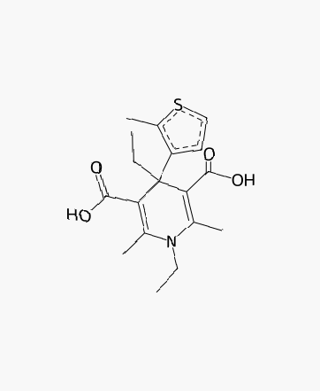 CCN1C(C)=C(C(=O)O)C(CC)(c2ccsc2C)C(C(=O)O)=C1C